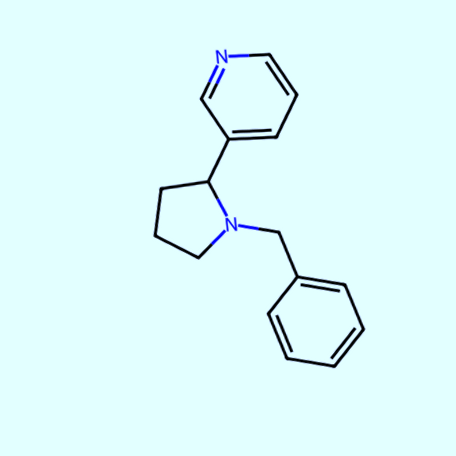 c1ccc(CN2CCCC2c2cccnc2)cc1